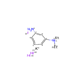 CCN(CC)c1cccc(N)c1.I.I.[I-].[K+]